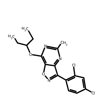 CCC(CC)Oc1nc(C)nc2c(-c3ccc(Cl)cc3Cl)noc12